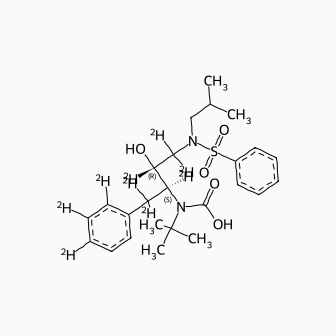 [2H]c1ccc(C([2H])([2H])[C@]([2H])(N(C(=O)O)C(C)(C)C)[C@]([2H])(O)C([2H])([2H])N(CC(C)C)S(=O)(=O)c2ccccc2)c([2H])c1[2H]